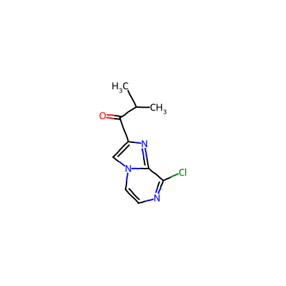 CC(C)C(=O)c1cn2ccnc(Cl)c2n1